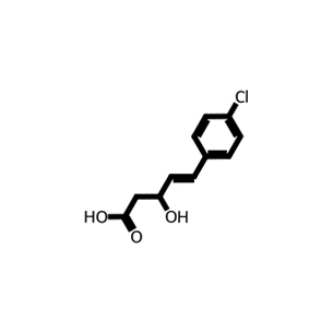 O=C(O)CC(O)C=Cc1ccc(Cl)cc1